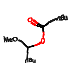 CCCCC(=O)OC(CCCC)OC